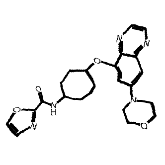 O=C(NC1CCC(Oc2cc(N3CCOCC3)cc3nccnc23)CC1)c1ncco1